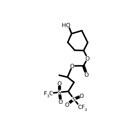 CC(CC(S(=O)(=O)C(F)(F)F)S(=O)(=O)C(F)(F)F)OC(=O)OC1CCC(O)CC1